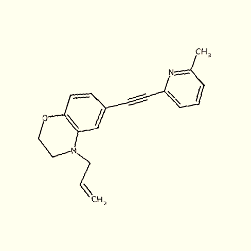 C=CCN1CCOc2ccc(C#Cc3cccc(C)n3)cc21